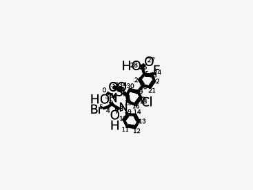 CN1[C@@](O)(CBr)C(O)N(c2ccccc2)c2cc(Cl)c(-c3ccc(F)c(C(=O)O)c3)cc2S1(=O)=O